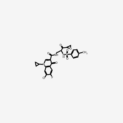 Cc1ccc(S(=O)(=O)NC(CNC(=O)c2cn(C3CC3)c3cc(Cl)c(F)cc3c2=O)C(=O)C2CO2)cc1